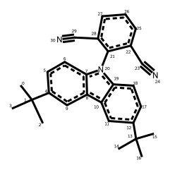 CC(C)(C)c1ccc2c(c1)c1cc(C(C)(C)C)ccc1n2-c1c(C#N)cccc1C#N